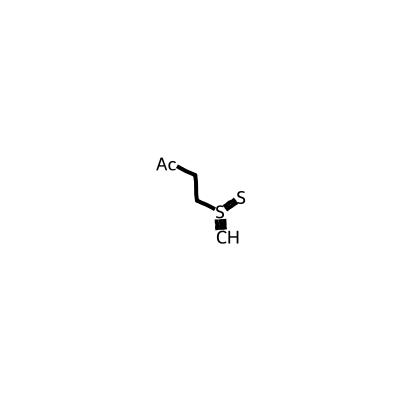 C#S(=S)CCC(C)=O